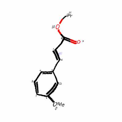 COc1[c]ccc(/C=C/C(=O)OC(C)C)c1